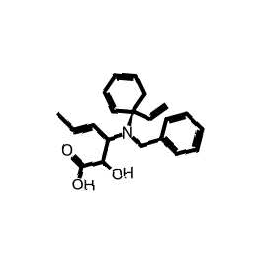 C=C[C@]1(N(Cc2ccccc2)C(C=CC)C(O)C(=O)O)C=CC=CC1